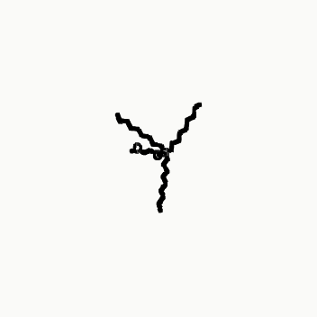 CCCCCCCCC[Si](CCCCCCCCC)(CCCCCCCCC)OCCOC